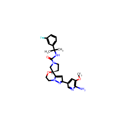 CC(C)(NC(=O)N1CC[C@]2(C1)OCCn1nc(-c3cnc(N)c(OC(F)(F)F)c3)cc12)c1cccc(F)c1